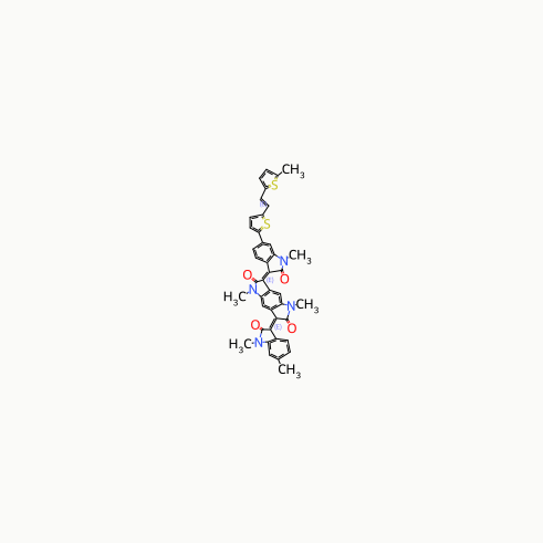 Cc1ccc2c(c1)N(C)C(=O)/C2=C1/C(=O)N(C)c2cc3c(cc21)N(C)C(=O)/C3=C1/C(=O)N(C)c2cc(-c3ccc(/C=C/c4ccc(C)s4)s3)ccc21